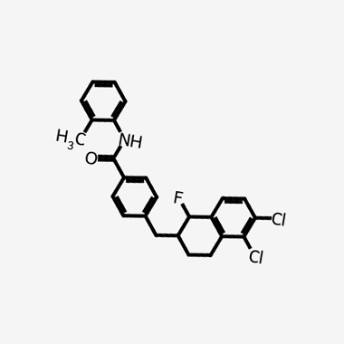 Cc1ccccc1NC(=O)c1ccc(CC2CCc3c(ccc(Cl)c3Cl)C2F)cc1